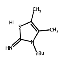 CCCCn1c(C)c(C)sc1=N.I